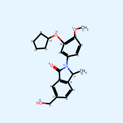 COc1ccc(N2C(=O)c3cc(CO)ccc3C2C)cc1OC1CCCC1